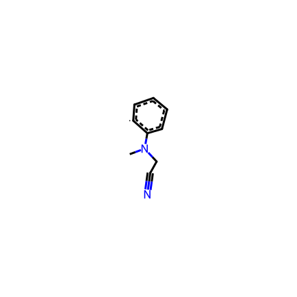 CN(CC#N)c1[c]cccc1